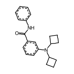 O=C(Nc1ccccc1)c1cccc(N(C2CCC2)C2CCC2)c1